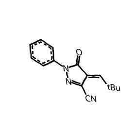 CC(C)(C)/C=C1/C(=O)N(c2ccccc2)N=C1C#N